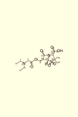 CCN(CC)CC(=O)OC[C@H]1C(=O)N2[C@@H](C(=O)O)C(C)(C)S(=O)(=O)[C@H]12